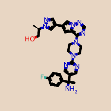 C[C@H](CO)n1cc(-c2cc3c(N4CCN(c5ncc(C(C)(N)c6ccc(F)cc6)cn5)CC4)ncnn3c2)cn1